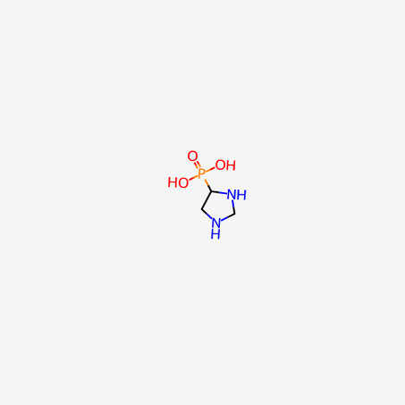 O=P(O)(O)C1CNCN1